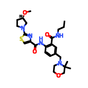 CCCNC(=O)c1cc(CN2CCOCC2(C)C)ccc1NC(=O)c1csc(N2CC[C@H](OC)C2)n1